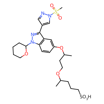 CC(CCCS(=O)(=O)O)OCCC(C)Oc1ccc2c(c1)c(-c1cnn(S(C)(=O)=O)c1)nn2C1CCCCO1